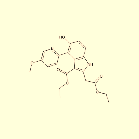 CCOC(=O)Cc1[nH]c2ccc(O)c(-c3ccc(OC)cn3)c2c1C(=O)OCC